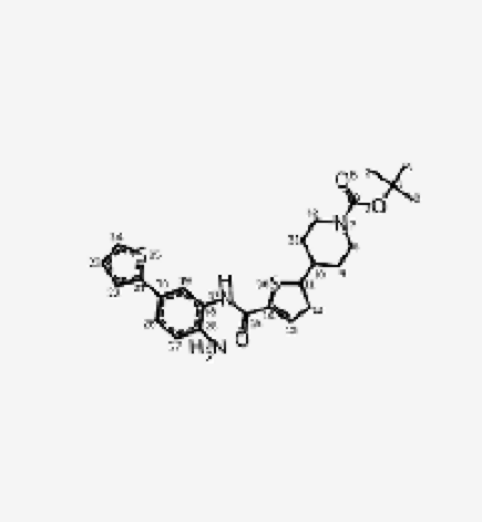 CC(C)(C)OC(=O)N1CCC(C2CC=C(C(=O)Nc3cc(-c4cccs4)ccc3N)S2)CC1